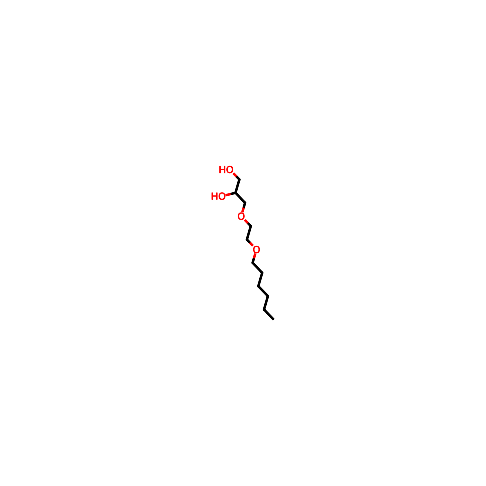 CCCCCCOCCOCC(O)CO